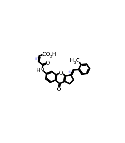 Cc1ccccc1/C=C1\CCc2c1oc1cc(NC(=O)/C=C\C(=O)O)ccc1c2=O